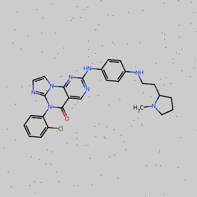 CN1CCCC1CCNc1ccc(Nc2ncc3c(=O)n(-c4ccccc4Cl)c4nccn4c3n2)cc1